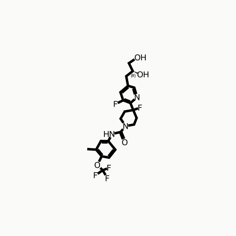 Cc1cc(NC(=O)N2CCC(F)(c3ncc(C[C@@H](O)CO)cc3F)CC2)ccc1OC(F)(F)F